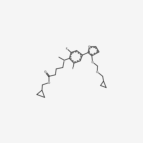 CN(CCCC(=O)OCC1CC1)c1c(F)cc(-c2occc2OCOCC2CC2)cc1F